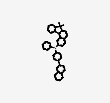 CC1(C)c2ccccc2-c2c1ccc1ccc(N(c3ccccc3)c3ccc(-c4ccc5ccccc5c4)cc3)cc21